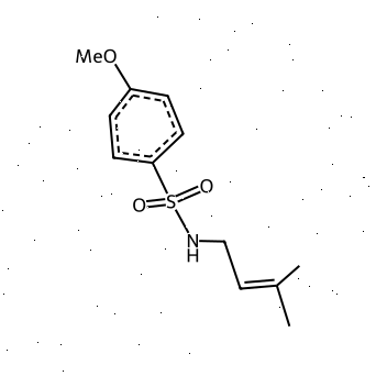 COc1ccc(S(=O)(=O)NCC=C(C)C)cc1